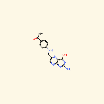 CCCC(=O)c1ccc(NCc2cnc3nc(N)nc(O)c3n2)cc1